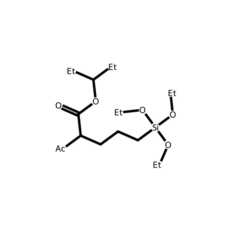 CCO[Si](CCCC(C(C)=O)C(=O)OC(CC)CC)(OCC)OCC